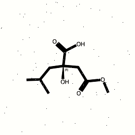 COC(=O)C[C@](O)(CC(C)C)C(=O)O